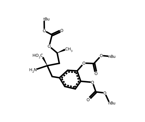 CCCCOC(=O)Oc1ccc(C[C@](N)(C[C@H](C)OC(=O)OC(C)(C)C)C(=O)O)cc1OC(=O)OCCCC